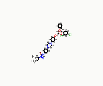 CCC(C)n1ncn(-c2ccc(N3CCN(c4ccc(OC[C@@H]5CO[C@@](Cc6ccccc6)(c6ccc(Cl)cc6Cl)O5)cc4)CC3)cc2)c1=O